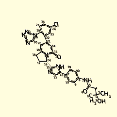 CC(C)(O)CC(=O)Nc1ccc(-c2cnc([C@@H]3CCc4cc(-c5cc(Cl)ccc5-n5cnnn5)cc(=O)n43)[nH]2)cc1